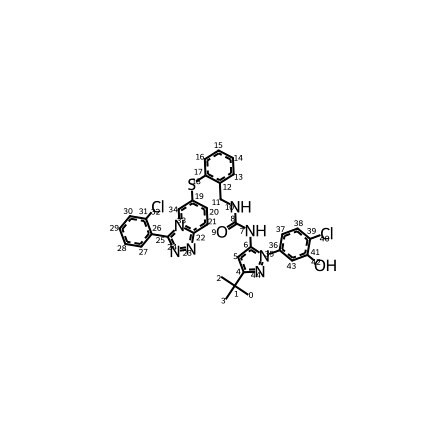 CC(C)(C)c1cc(NC(=O)NCc2ccccc2Sc2ccc3nnc(-c4ccccc4Cl)n3c2)n(-c2ccc(Cl)c(O)c2)n1